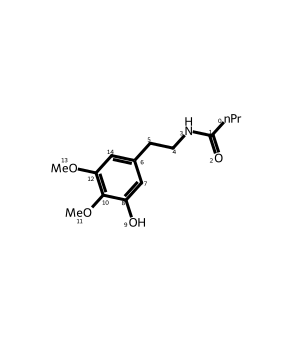 CCCC(=O)NCCc1cc(O)c(OC)c(OC)c1